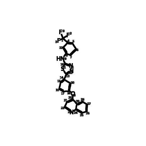 FC(F)(F)c1cccc(Nc2nnc(-c3cccc(Oc4ccnc5ccccc45)c3)s2)c1